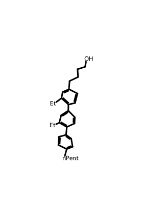 CCCCCc1ccc(-c2ccc(-c3ccc(CCCCO)cc3CC)cc2CC)cc1